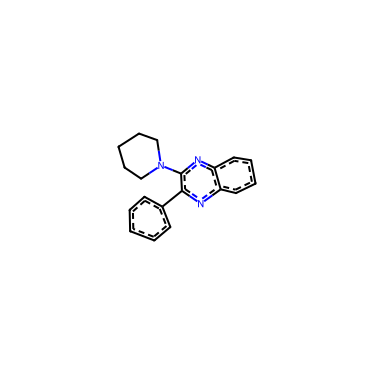 c1ccc(-c2nc3ccccc3nc2N2CCCCC2)cc1